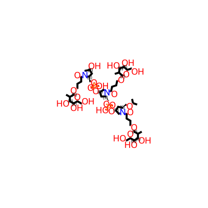 CC(C)OC[C@@H]1C[C@@H](OP(=O)(O)OC[C@@H]2C[C@@H](OP(=O)(O)OC[C@@H]3C[C@@H](O)CN3C(=O)CCCO[C@@H]3OC(CO)[C@H](O)[C@H](O)C3C)CN2C(=O)CCCO[C@@H]2OC(CO)[C@H](O)[C@H](O)C2C)CN1C(=O)CCCO[C@@H]1OC(CO)[C@H](O)[C@H](O)C1C